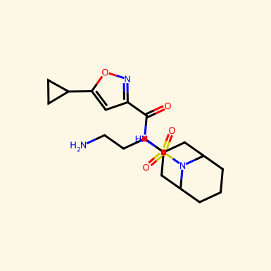 NCCCS(=O)(=O)N1C2CCCC1CC(NC(=O)c1cc(C3CC3)on1)C2